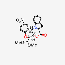 COC(OC)[C@@]1(C)Oc2ccc([N+](=O)[O-])cc2[C@H]2[C@H]1OC(=O)c1cc3ccccc3n12